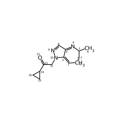 C/C=C1\C(=N/C(C)F)C=NN1CC(=O)C1CC1